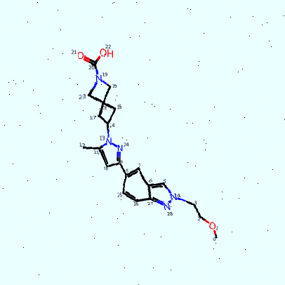 COCCn1cc2cc(-c3cc(C)n(C4CC5(C4)CN(C(=O)O)C5)n3)ccc2n1